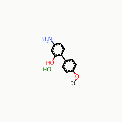 CCOc1ccc(-c2ccc(N)cc2O)cc1.Cl